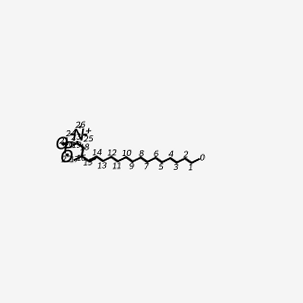 CCCCCCCCCCCCCCC=CC(C)CC(P(=O)=O)[N+](C)(C)C